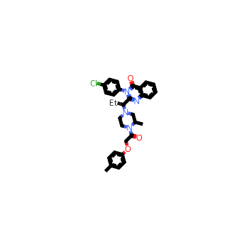 CCC(c1nc2ccccc2c(=O)n1-c1ccc(Cl)cc1)N1CCN(C(=O)COc2ccc(C)cc2)C(C)C1